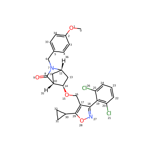 COc1ccc(CN2C(=O)[C@@H]3C[C@H]2C[C@H]3OCc2c(-c3c(Cl)cccc3Cl)noc2C2CC2)cc1